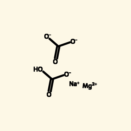 O=C([O-])O.O=C([O-])[O-].[Mg+2].[Na+]